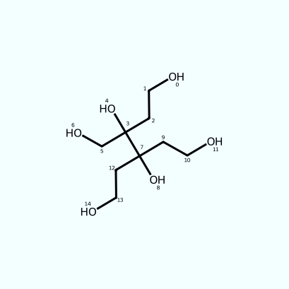 OCCC(O)(CO)C(O)(CCO)CCO